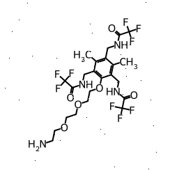 Cc1c(CNC(=O)C(F)(F)F)c(C)c(CNC(=O)C(F)(F)F)c(OCCOCCOCCN)c1CNC(=O)C(F)(F)F